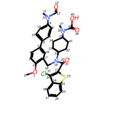 COc1ccc(-c2ccc(N(C)C=O)cc2)cc1CN(C(=O)c1sc2ccccc2c1Cl)C1CCC(N(C)C(=O)O)CC1